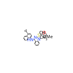 COC(=O)C(C)(C)Sc1nc(Nc2ccc(C3CC3)c3ccccc23)c2ccccc2n1